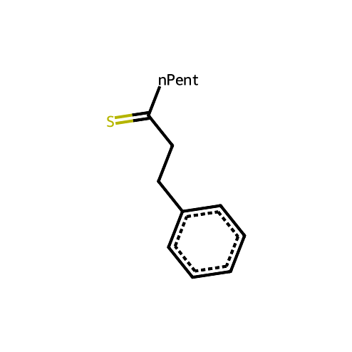 CCCCCC(=S)CCc1ccccc1